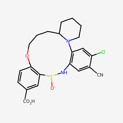 N#Cc1cc2c(cc1Cl)N1CCCCC1CCCOc1ccc(C(=O)O)cc1[S+]([O-])N2